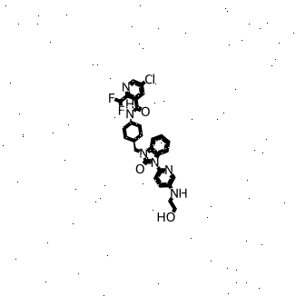 O=C(N[C@H]1CC[C@H](Cn2c(=O)n(-c3ccc(NCCO)cn3)c3ccccc32)CC1)c1cc(Cl)cnc1C(F)F